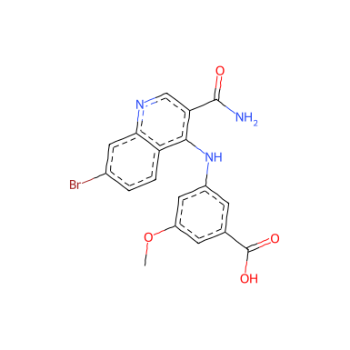 COc1cc(Nc2c(C(N)=O)cnc3cc(Br)ccc23)cc(C(=O)O)c1